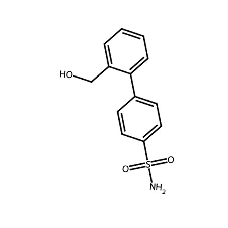 NS(=O)(=O)c1ccc(-c2ccccc2CO)cc1